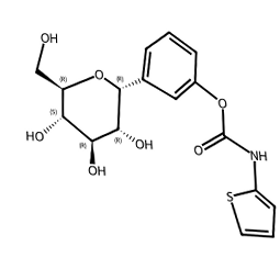 O=C(Nc1cccs1)Oc1cccc([C@H]2O[C@H](CO)[C@@H](O)[C@H](O)[C@H]2O)c1